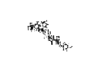 Cc1ccc(CCNC(=O)c2csc(C3CCN(C(=O)c4ccccc4-c4ccc(C(F)(F)F)cc4)CC3)n2)cc1